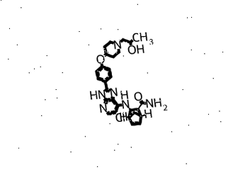 CC(O)CN1CCC(Oc2ccc(-c3nc4c(N[C@H]5[C@@H](C(N)=O)[C@@H]6C=C[C@H]5C6)c(Cl)cnc4[nH]3)cc2)CC1